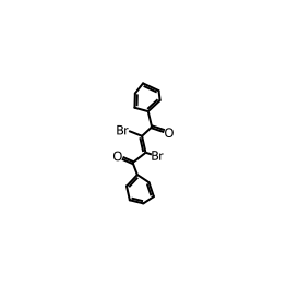 O=C(C(Br)=C(Br)C(=O)c1ccccc1)c1ccccc1